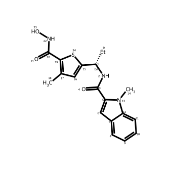 CC[C@H](NC(=O)c1cc2ccccc2n1C)c1cc(C)c(C(=O)NO)s1